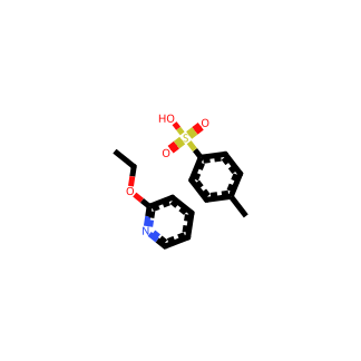 CCOc1ccccn1.Cc1ccc(S(=O)(=O)O)cc1